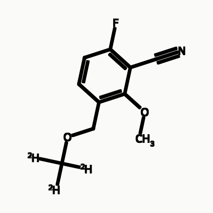 [2H]C([2H])([2H])OCc1ccc(F)c(C#N)c1OC